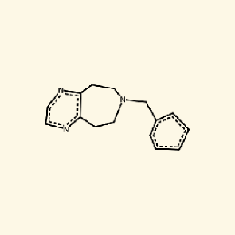 c1ccc(CN2CCc3nccnc3CC2)cc1